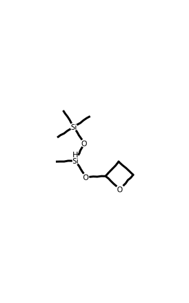 C[SiH](OC1CCO1)O[Si](C)(C)C